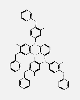 CC(C)(C)c1cc(N2c3cc(C(C)(C)C)c(Cc4ccccc4)cc3B3c4cc(Cc5ccccc5)c(C(C)(C)C)cc4N(c4ccc(Cc5ccccc5)c(C(C)(C)C)c4)c4cccc2c43)ccc1Cc1ccccc1